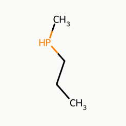 CCCPC